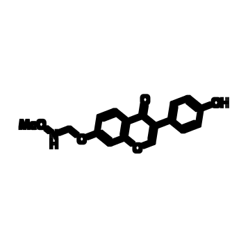 CONCOc1ccc2c(=O)c(-c3ccc(O)cc3)coc2c1